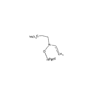 C=CN(CC(=O)O)OCCCCC